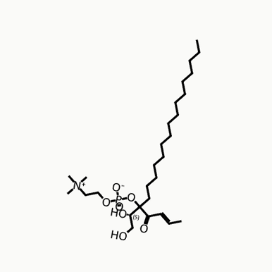 CC=CC(=O)C(CCCCCCCCCCCCCCCC)(OP(=O)([O-])OCC[N+](C)(C)C)[C@@H](O)CO